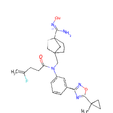 C=C(F)CCC(=O)N(CC12CCC(/C(N)=N/O)(CC1)C2)c1cccc(-c2noc(C3(C)CC3)n2)c1